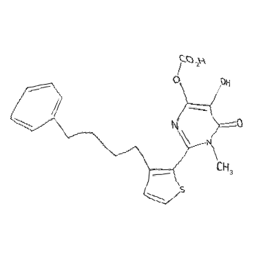 Cn1c(-c2sccc2CCCCc2ccccc2)nc(OC(=O)O)c(O)c1=O